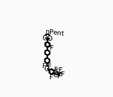 CCCCCC1COC(c2ccc(C3CCC(C4CCC(C(F)(F)Oc5cc(F)c(OC(F)(F)C(F)F)c(F)c5)CC4)CC3)c(F)c2)OC1